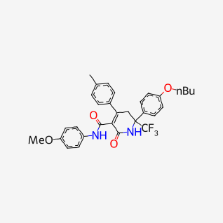 CCCCOc1ccc(C2(C(F)(F)F)CC(c3ccc(C)cc3)=C(C(=O)Nc3ccc(OC)cc3)C(=O)N2)cc1